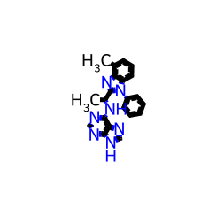 Cc1cccc2c1nc(C(C)Nc1ncnc3[nH]cnc13)n2-c1ccccc1